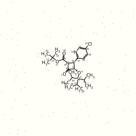 CC(C)[Si](O[C@H]1C(=O)N(C(=O)OC(C)(C)C)[C@H]1c1ccc(Cl)cn1)(C(C)C)C(C)C